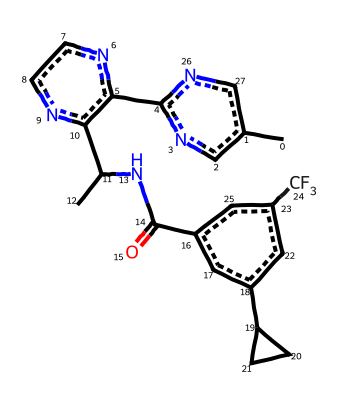 Cc1cnc(-c2nccnc2C(C)NC(=O)c2cc(C3CC3)cc(C(F)(F)F)c2)nc1